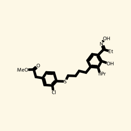 CCCc1c(CCCCSc2ccc(CC(=O)OC)cc2Cl)ccc(/C(CC)=N/O)c1O